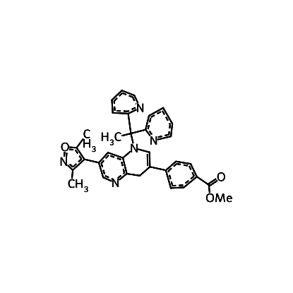 COC(=O)c1ccc(C2=CN(C(C)(c3ccccn3)c3ccccn3)c3cc(-c4c(C)noc4C)cnc3C2)cc1